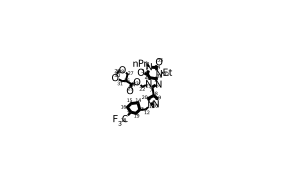 CCCn1c(=O)c2c(nc(-c3cnn(Cc4cccc(C(F)(F)F)c4)c3)n2COC(=O)C2COCOC2)n(CC)c1=O